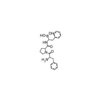 NC(Cc1ccccc1)C(=O)N1CCCC1C(=O)NC(Cc1ccccc1)B(O)O